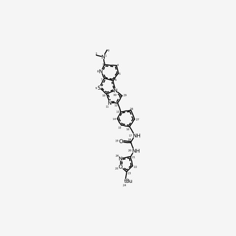 CN(C)c1ccc2c(n1)sc1nc(-c3ccc(NC(=O)Nc4cc(C(C)(C)C)on4)cc3)cn12